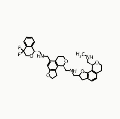 CNC[C@H]1OCCc2ccc3c(c21)OC(CNC[C@@H]1OCCc2c(CNC[C@@H]4OCC(F)(F)c5ccccc54)cc4c(c21)CCO4)C3